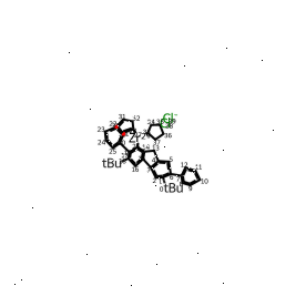 CC(C)(C)c1cc2c(cc1-c1ccccc1)Cc1c-2cc(C(C)(C)C)c(-c2ccccc2)[c]1[Zr+2]([C]1=CC=CC1)=[C]1CCCC1.[Cl-].[Cl-]